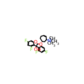 C[N+](C)(C)C1C=CCC[C@@H](OC(=O)C(O)(c2ccc(F)cc2F)c2ccc(F)cc2F)C1